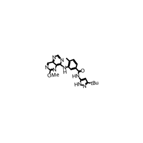 COc1ncc2ncnc(Nc3cc(C(=O)Nc4cc(C(C)(C)C)n[nH]4)ccc3C)c2n1